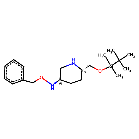 CC(C)(C)[Si](C)(C)OC[C@@H]1CC[C@@H](NOCc2ccccc2)CN1